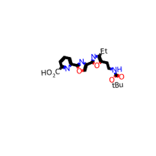 CCc1nc(-c2coc(-c3cccc(C(=O)O)n3)n2)oc1CCNC(=O)OC(C)(C)C